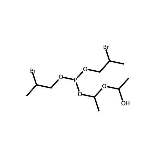 CC(Br)COP(OCC(C)Br)OC(C)OC(C)O